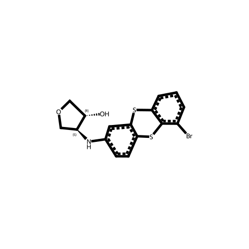 O[C@H]1COC[C@@H]1Nc1ccc2c(c1)Sc1cccc(Br)c1S2